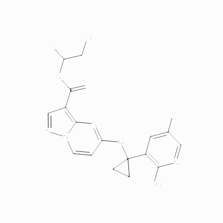 CC(CO)NC(=O)c1cnn2ccc(NC3(c4cc(F)cnc4O)CC3)nc12